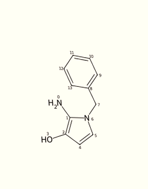 Nc1c(O)ccn1Cc1ccccc1